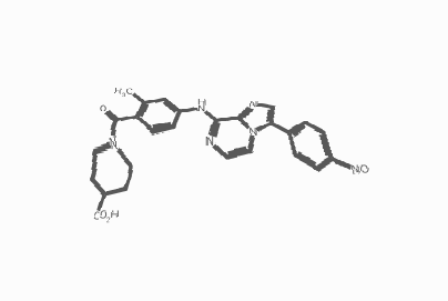 Cc1cc(Nc2nccn3c(-c4ccc(N=O)cc4)cnc23)ccc1C(=O)N1CCC(C(=O)O)CC1